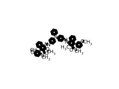 COc1ccc(N(C)C(=O)c2cc3ccccc3c(N=Nc3ccc(N(c4ccccc4)c4ccc(N=Nc5c(OC)c(C(=O)N(C)c6ccc(OC)cc6)cc6ccccc56)cc4)cc3)c2C)cc1